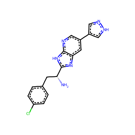 N[C@H](Cc1ccc(Cl)cc1)c1nc2cc(-c3cn[nH]c3)cnc2[nH]1